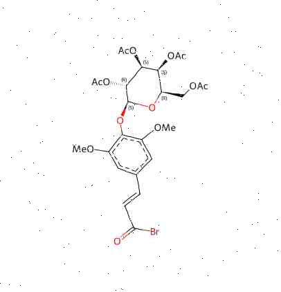 COc1cc(C=CC(=O)Br)cc(OC)c1O[C@@H]1O[C@H](COC(C)=O)[C@H](OC(C)=O)[C@H](OC(C)=O)[C@H]1OC(C)=O